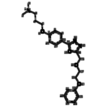 CN(C)CCCOc1ccc(-c2nnc(COCCOc3ccccc3)o2)cc1